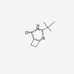 CC(C)(C)c1nc2c(c(=O)[nH]1)CC2